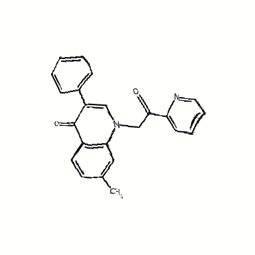 Cc1ccc2c(=O)c(-c3ccccc3)cn(CC(=O)c3ccccn3)c2c1